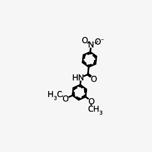 COc1cc(NC(=O)c2ccc([N+](=O)[O-])cc2)cc(OC)c1